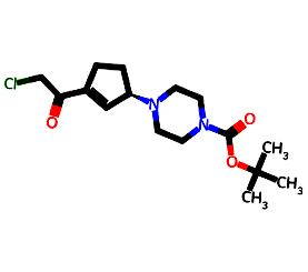 CC(C)(C)OC(=O)N1CCN([C@H]2C=C(C(=O)CCl)CC2)CC1